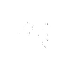 CC(C)c1cnc(C[C@H](C)c2ccc(C#N)nn2)cn1